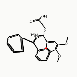 COc1ccc([C@@H](CC(=O)O)NC(c2ccccc2)c2ccccc2)cc1OC